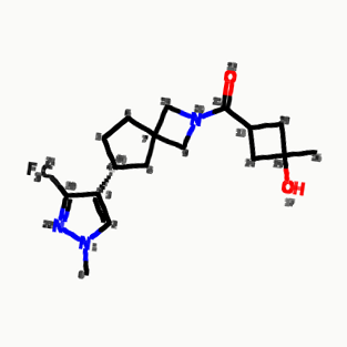 Cn1cc([C@@H]2CCC3(C2)CN(C(=O)C2CC(C)(O)C2)C3)c(C(F)(F)F)n1